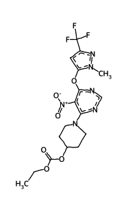 CCOC(=O)OC1CCN(c2ncnc(Oc3cc(C(F)(F)F)nn3C)c2[N+](=O)[O-])CC1